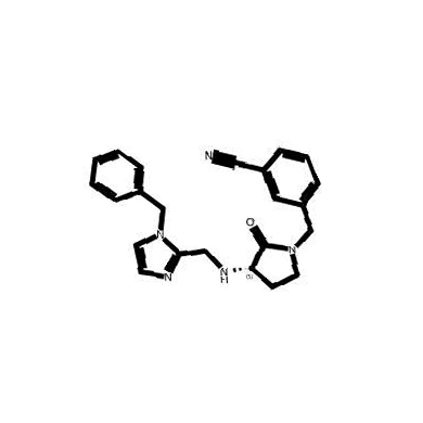 N#Cc1cccc(CN2CC[C@H](NCc3nccn3Cc3ccccc3)C2=O)c1